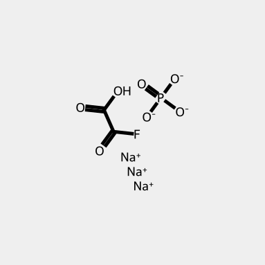 O=C(O)C(=O)F.O=P([O-])([O-])[O-].[Na+].[Na+].[Na+]